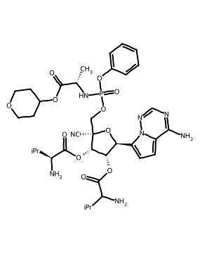 CC(C)C(N)C(=O)O[C@H]1[C@H](c2ccc3c(N)ncnn23)O[C@](C#N)(COP(=O)(N[C@@H](C)C(=O)OC2CCOCC2)Oc2ccccc2)[C@H]1OC(=O)[C@@H](N)C(C)C